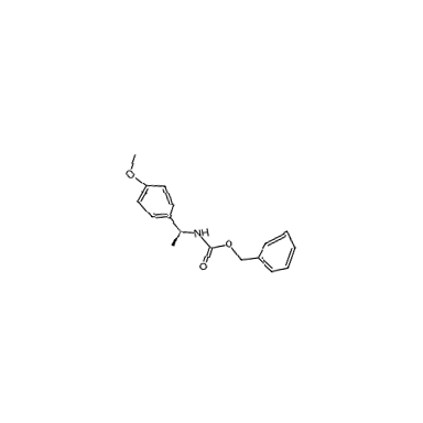 COc1ccc([C@H](C)NC(=O)OCc2ccccc2)cc1